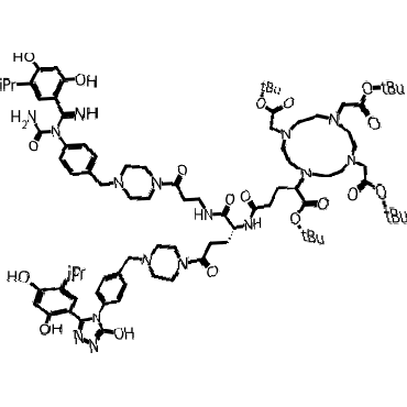 CC(C)c1cc(C(=N)N(C(N)=O)c2ccc(CN3CCN(C(=O)CCNC(=O)[C@@H](CCC(=O)N4CCN(Cc5ccc(-n6c(O)nnc6-c6cc(C(C)C)c(O)cc6O)cc5)CC4)NC(=O)CC[C@H](C(=O)OC(C)(C)C)N4CCN(CC(=O)OC(C)(C)C)CCN(CC(=O)OC(C)(C)C)CCN(CC(=O)OC(C)(C)C)CC4)CC3)cc2)c(O)cc1O